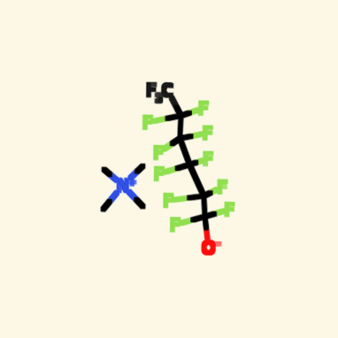 C[N+](C)(C)C.[O-]C(F)(F)C(F)(F)C(F)(F)C(F)(F)C(F)(F)C(F)(F)F